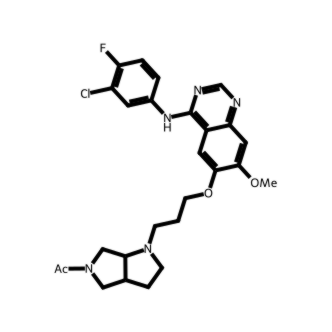 COc1cc2ncnc(Nc3ccc(F)c(Cl)c3)c2cc1OCCCN1CCC2CN(C(C)=O)CC21